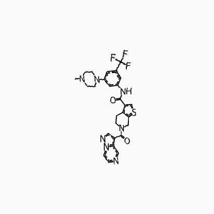 CN1CCN(c2cc(NC(=O)c3csc4c3CCN(C(=O)c3cnn5ccncc35)C4)cc(C(F)(F)F)c2)CC1